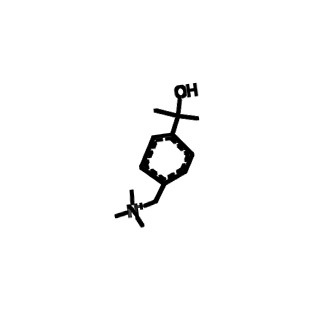 CC(C)(O)c1ccc(C[N+](C)(C)C)cc1